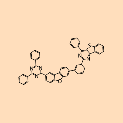 C1=CC(c2ccc3c(c2)oc2ccc(-c4nc(-c5ccccc5)nc(-c5ccccc5)n4)cc23)=CC(c2nc(-c3ccccc3)c3sc4ccccc4c3n2)C1